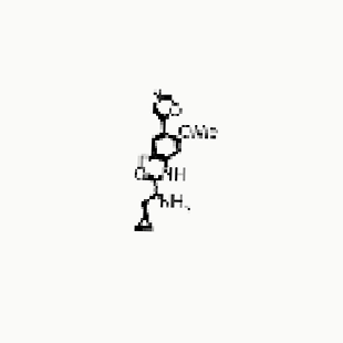 COc1cc(NC(=O)C(N)CC2CC2)c(F)cc1-c1cnco1